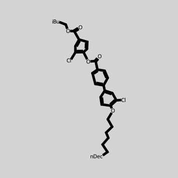 CCCCCCCCCCCCCCCCOc1ccc(-c2ccc(C(=O)Oc3ccc(C(=O)OCC(C)CC)cc3Cl)cc2)cc1Cl